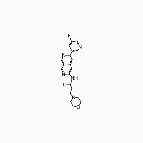 O=C(CCN1CCOCC1)Nc1cc2cc(-c3cncc(F)c3)ncc2cn1